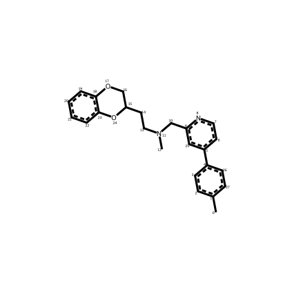 Cc1ccc(-c2ccnc(CN(C)CCC3COc4ccccc4O3)c2)cc1